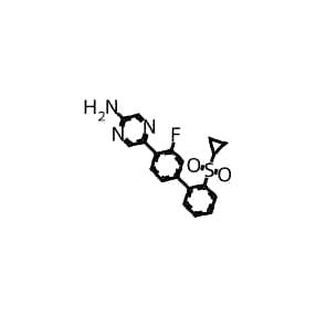 Nc1cnc(-c2ccc(-c3ccccc3S(=O)(=O)C3CC3)cc2F)cn1